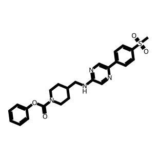 CS(=O)(=O)c1ccc(-c2cnc(NCC3CCN(C(=O)Oc4ccccc4)CC3)cn2)cc1